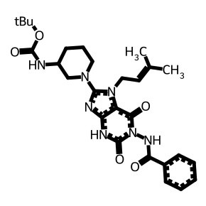 CC(C)=CCn1c(N2CCCC(NC(=O)OC(C)(C)C)C2)nc2[nH]c(=O)n(NC(=O)c3ccccc3)c(=O)c21